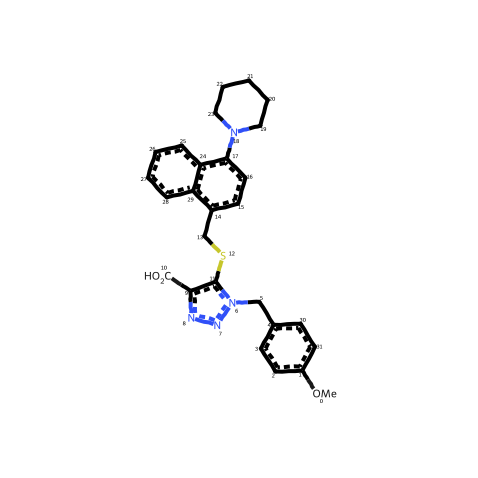 COc1ccc(Cn2nnc(C(=O)O)c2SCc2ccc(N3CCCCC3)c3ccccc23)cc1